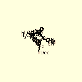 CCCCCCCCCCCCCCCCCCC[C@H](COP(=O)(OC[C@@]1(C#N)OC(c2ccc3c(N)ncnn23)[C@@H]2OC(C)(C)O[C@@H]21)Oc1ccccc1Cl)OCc1ccc(-n2cncn2)c(C#N)c1